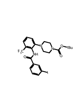 CC(C)(C)OC(=O)N1CCN(c2cccc(C(F)(F)F)c2NC(=O)c2cccc(I)c2)CC1